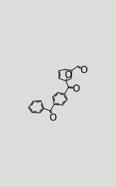 O=CC1CC2(C(=O)c3ccc(C(=O)c4ccccc4)cc3)C=CC1O2